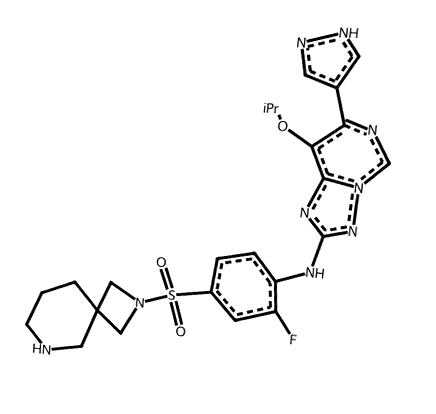 CC(C)Oc1c(-c2cn[nH]c2)ncn2nc(Nc3ccc(S(=O)(=O)N4CC5(CCCNC5)C4)cc3F)nc12